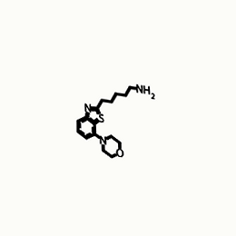 NCCCCCc1nc2cccc(N3CCOCC3)c2s1